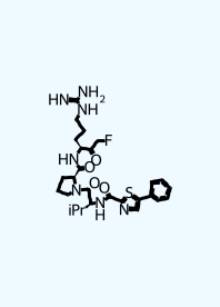 CC(C)[C@H](NC(=O)c1ncc(-c2ccccc2)s1)C(=O)N1CCC[C@H]1C(=O)N[C@@H](CCCNC(=N)N)C(=O)CF